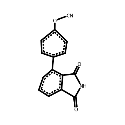 N#COc1ccc(-c2cccc3c2C(=O)NC3=O)cc1